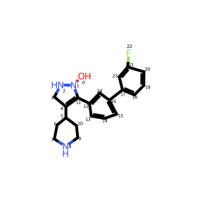 ON1NCC(C2CCNCC2)=C1c1cccc(-c2cccc(F)c2)c1